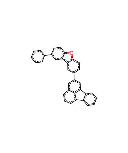 c1ccc(-c2ccc3oc4ccc(-c5cc6c7c(cccc7c5)-c5ccccc5-6)cc4c3c2)cc1